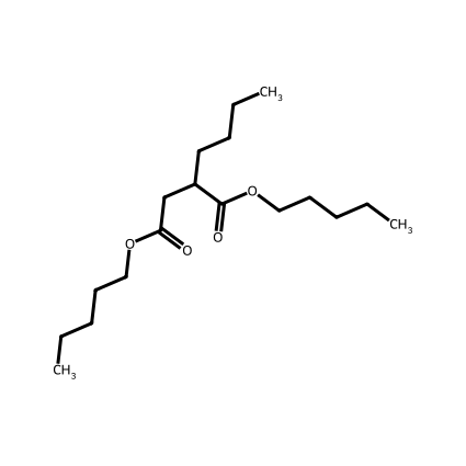 CCCCCOC(=O)CC(CCCC)C(=O)OCCCCC